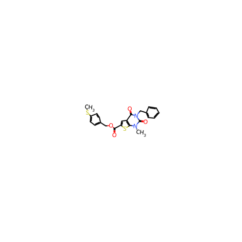 CSc1ccc(COC(=O)c2cc3c(=O)n(Cc4ccccc4)c(=O)n(C)c3s2)cc1